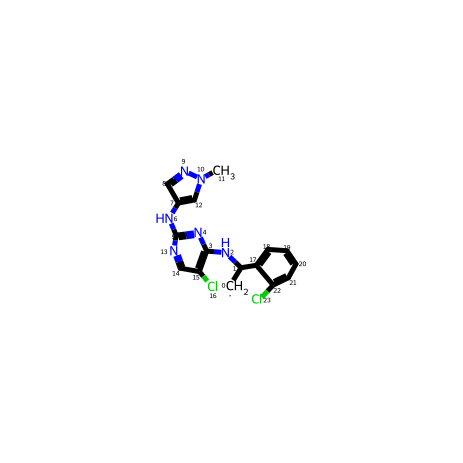 [CH2][C](Nc1nc(Nc2cnn(C)c2)ncc1Cl)c1ccccc1Cl